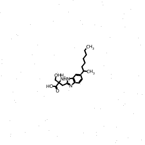 CCCCCCC(C)c1ccc2nc(CC(N)(CO)C(=O)O)[nH]c2c1